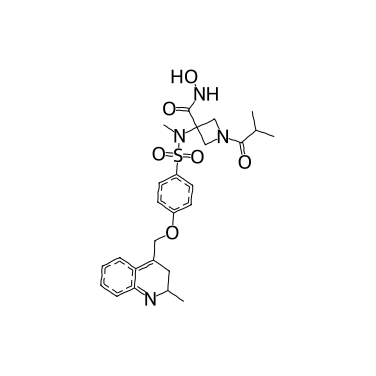 CC1CC(COc2ccc(S(=O)(=O)N(C)C3(C(=O)NO)CN(C(=O)C(C)C)C3)cc2)=c2ccccc2=N1